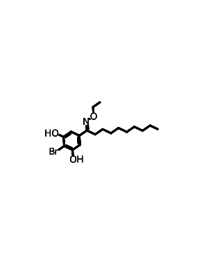 CCCCCCCCCC(=NOCC)c1cc(O)c(Br)c(O)c1